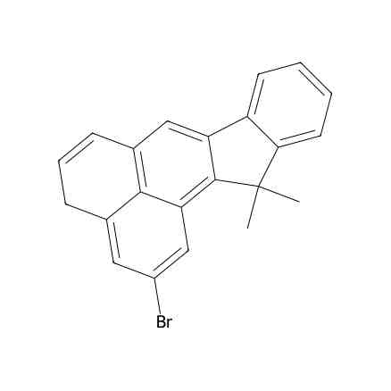 CC1(C)c2ccccc2-c2cc3c4c(cc(Br)cc4c21)CC=C3